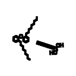 C=C.C=C.C=C.C=C.C=C.C=C.C=C.C=C.C=C.C=C.CCCCCCCCCc1ccccc1Oc1ccccc1CCCCCCCCC.OCCO